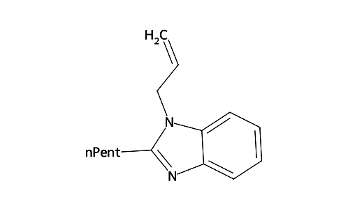 C=CCn1c(CCCCC)nc2ccccc21